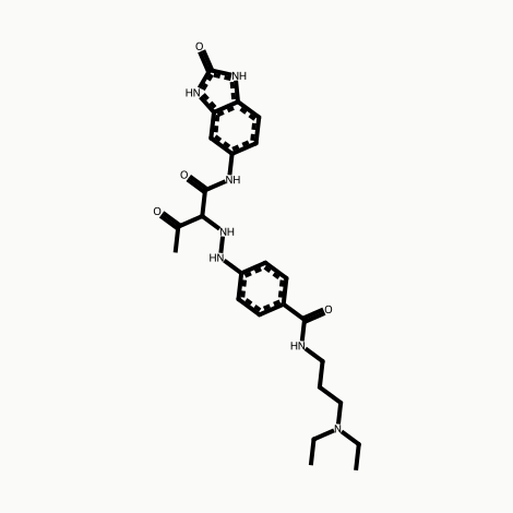 CCN(CC)CCCNC(=O)c1ccc(NNC(C(C)=O)C(=O)Nc2ccc3[nH]c(=O)[nH]c3c2)cc1